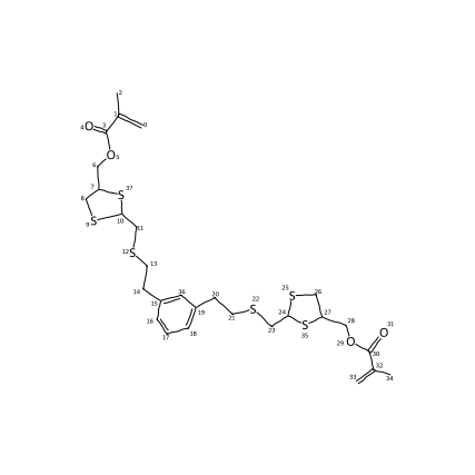 C=C(C)C(=O)OCC1CSC(CSCCc2cccc(CCSCC3SCC(COC(=O)C(=C)C)S3)c2)S1